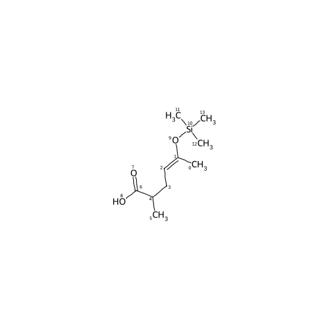 C/C(=C\CC(C)C(=O)O)O[Si](C)(C)C